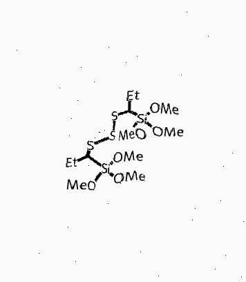 CCC(SSSC(CC)[Si](OC)(OC)OC)[Si](OC)(OC)OC